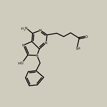 Nc1nc(CCCC(=O)S)nc2c1nc(O)n2Cc1ccccc1